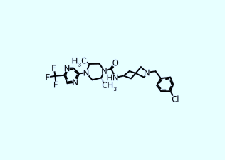 C[C@@H]1CN(c2cnc(C(F)(F)F)cn2)[C@@H](C)CN1C(=O)NC1CC2(C1)CN(Cc1ccc(Cl)cc1)C2